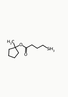 CC1(OC(=O)CCC[SiH3])CCCC1